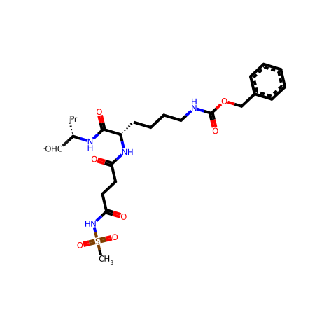 CC(C)[C@@H]([C]=O)NC(=O)[C@H](CCCCNC(=O)OCc1ccccc1)NC(=O)CCC(=O)NS(C)(=O)=O